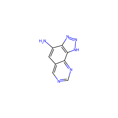 Nc1cc2cncnc2c2[nH]nnc12